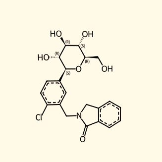 O=C1c2ccccc2CN1Cc1cc([C@@H]2O[C@H](CO)[C@@H](O)[C@H](O)[C@H]2O)ccc1Cl